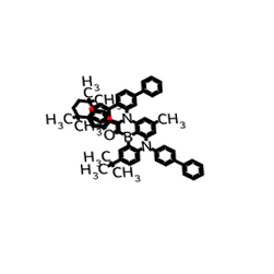 Cc1cc2c3c(c1)N(c1cc(-c4ccccc4)ccc1-c1ccccc1)c1c(oc4cc5c(cc14)C(C)(C)CCC5(C)C)B3c1cc(C(C)(C)C)ccc1N2c1ccc(-c2ccccc2)cc1